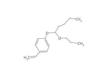 C=Cc1ccc(OC(CCCC)OCCC)cc1